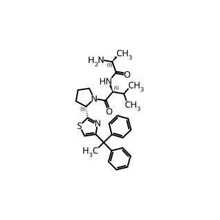 CC(C)[C@H](NC(=O)[C@H](C)N)C(=O)N1CCC[C@H]1c1nc(C(C)(c2ccccc2)c2ccccc2)cs1